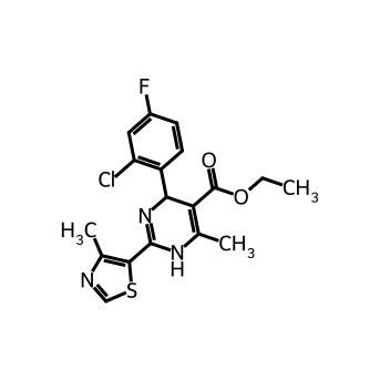 CCOC(=O)C1=C(C)NC(c2scnc2C)=NC1c1ccc(F)cc1Cl